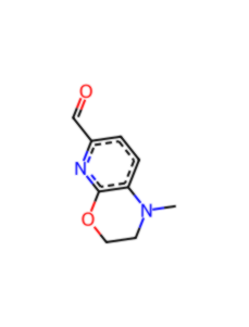 CN1CCOc2nc(C=O)ccc21